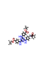 CC12CCC(/C(=C\c3ccc(Nc4nc(Nc5ccc(C(=O)OC[Si](C)(C)C)cc5)nc(Nc5ccc(C(=O)OC[Si](C)(C)C)cc5)n4)cc3)C1=O)C2(C)C